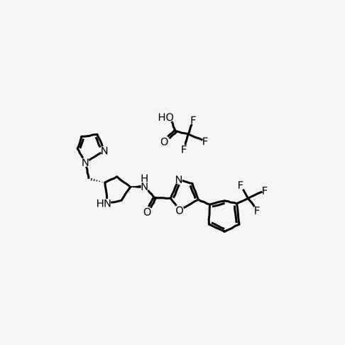 O=C(N[C@H]1CN[C@H](Cn2cccn2)C1)c1ncc(-c2cccc(C(F)(F)F)c2)o1.O=C(O)C(F)(F)F